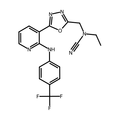 CCN(C#N)Cc1nnc(-c2cccnc2Nc2ccc(C(F)(F)F)cc2)o1